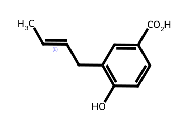 C/C=C/Cc1cc(C(=O)O)ccc1O